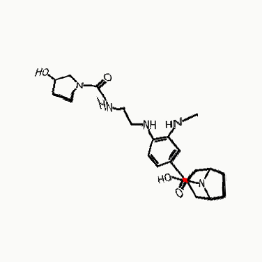 CNc1cc(C(=O)N2C3CCC2CC(O)C3)ccc1NCCNC(=O)N1CCC(O)C1